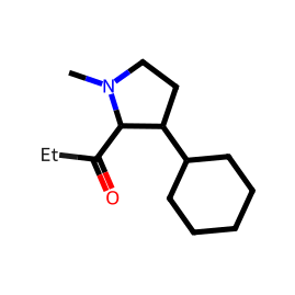 CCC(=O)C1C(C2CCCCC2)CCN1C